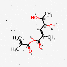 C=C(C)C(=O)OC(=O)C(C)=CC(O)C(C)O